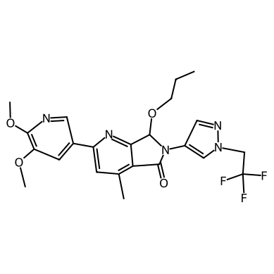 CCCOC1c2nc(-c3cnc(OC)c(OC)c3)cc(C)c2C(=O)N1c1cnn(CC(F)(F)F)c1